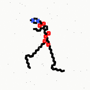 CC/C=C\CC1C(CC(=O)OCC(COCCCCCCCC/C=C\C/C=C\CCCCC)OCCCCCCCC/C=C\C/C=C\CCCCC)CCC1OC(=O)CN1CCN(C)CC1